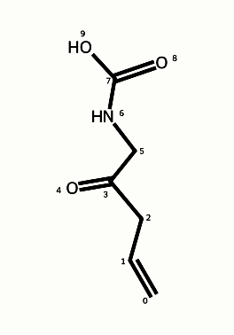 C=CCC(=O)CNC(=O)O